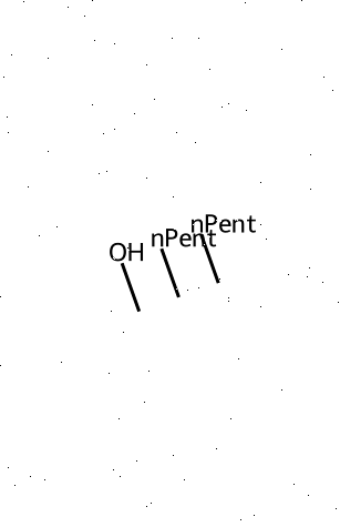 CCCCCC.CCCCCC.CO